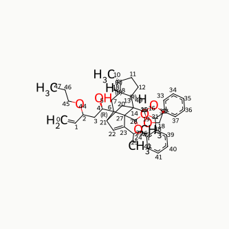 C=CC(C[C@@H](O)C12C[C@@H]3[C@H](C)CC[C@H]3C3(C4OCCO4)CC1C=C(C(C)C)C23C(=O)OC(c1ccccc1)c1ccccc1)OCCC